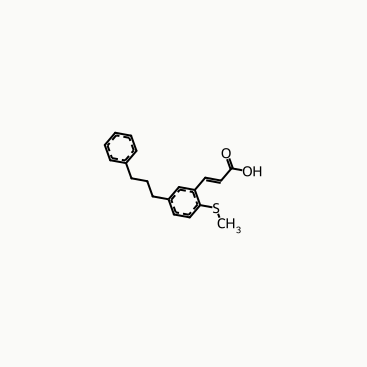 CSc1ccc(CCCc2ccccc2)cc1/C=C/C(=O)O